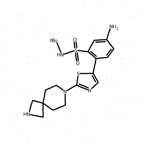 CC(C)(C)NS(=O)(=O)c1cc(N)ccc1-c1cnc(N2CCC3(CC2)CNC3)s1